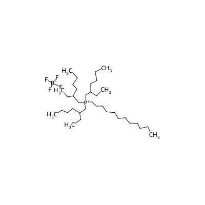 CCCCCCCCCCCC[P+](CC(CC)CCCC)(CC(CC)CCCC)CC(CC)CCCC.F[B-](F)(F)F